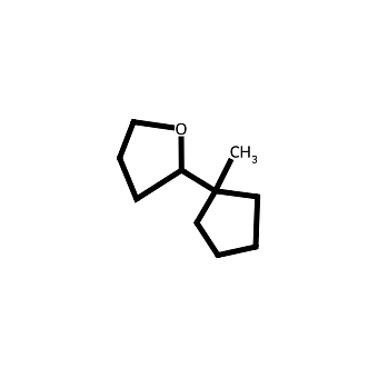 CC1([C]2CCCO2)CCCC1